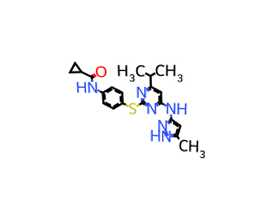 Cc1cc(Nc2cc(C(C)C)nc(Sc3ccc(NC(=O)C4CC4)cc3)n2)n[nH]1